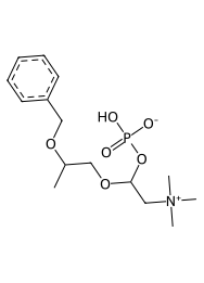 CC(COC(C[N+](C)(C)C)OP(=O)([O-])O)OCc1ccccc1